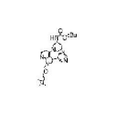 CC(C)(C)OC(=O)NC1CCCN(c2ccnc3c2c(-c2cncnc2)cn3COCC[Si](C)(C)C)C1